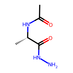 CC(=O)N[C@@H](C)C(=O)NN